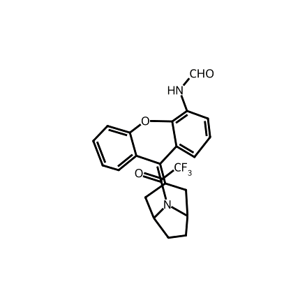 O=CNc1cccc2c1Oc1ccccc1C2=C1CC2CCC(C1)N2C(=O)C(F)(F)F